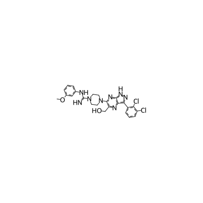 COc1cccc(NC(=N)N2CCN(c3nc4[nH]nc(-c5cccc(Cl)c5Cl)c4nc3CO)CC2)c1